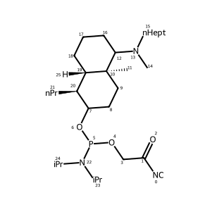 [C-]#[N+]C(=O)COP(OC1CC[C@]2(C)C(N(C)CCCCCCC)CCC[C@H]2[C@@H]1CCC)N(C(C)C)C(C)C